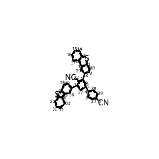 N#Cc1ccc(-c2cc(-c3ccc4sc5ccccc5c4c3)c(C#N)c(-c3ccc4sc5ccccc5c4c3)c2)cc1